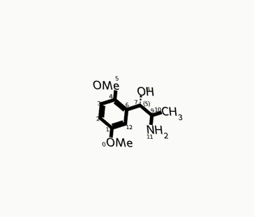 COc1ccc(OC)c([C@H](O)C(C)N)c1